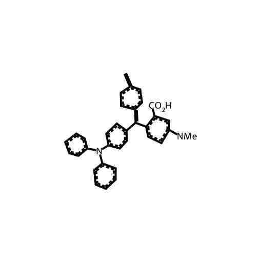 C=c1ccc(=C(c2ccc(N(c3ccccc3)c3ccccc3)cc2)c2ccc(NC)cc2C(=O)O)cc1